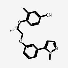 Cc1cc(C#N)ccc1O[C@@H](C)COc1cccc(-c2ccnn2C)c1